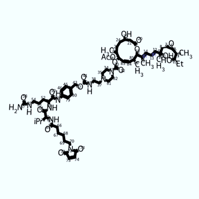 CC[C@H](O)[C@@H](C)[C@H]1O[C@@H]1CC(C)(O)/C=C/C=C(\C)C1OC(=O)CC(O)CCC(C)(OC(C)=O)C(OC(=O)N2CCN(CCNC(=O)OCc3ccc(NC(=O)C(CCCNC(N)=O)NC(=O)C(NC(=O)CCCCCN4C(=O)C=CC4=O)C(C)C)cc3)CC2)C=CC1C